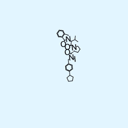 CC(C)C(C(=O)N1CCC[C@H]1C(=O)N(I)Cc1ccc(C2CCCC2)cc1)N1Cc2ccccc2C1=O